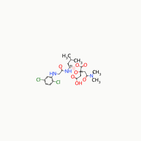 CC(C)C[C@H](NC(=O)CNc1cc(Cl)ccc1Cl)B1OC(=O)[C@](CC(=O)O)(CC(=O)N(C)C)O1